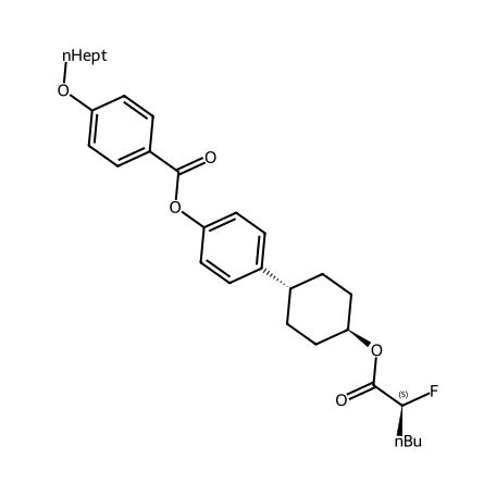 CCCCCCCOc1ccc(C(=O)Oc2ccc([C@H]3CC[C@H](OC(=O)[C@@H](F)CCCC)CC3)cc2)cc1